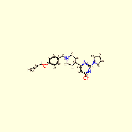 C#CCOc1ccc(CN2CCC(c3cc(O)nc(N4CCCC4)n3)CC2)cc1